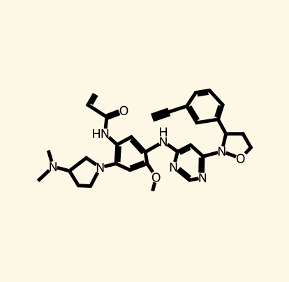 C#Cc1cccc(C2CCON2c2cc(Nc3cc(NC(=O)C=C)c(N4CCC(N(C)C)C4)cc3OC)ncn2)c1